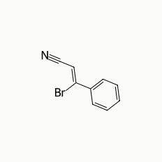 N#C/C=C(\Br)c1ccccc1